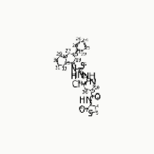 O=C(NC1CCSC1=O)c1cnc(NNC(=S)NC2C[C@H](c3ccccc3)Cc3ccccc32)c(Cl)c1